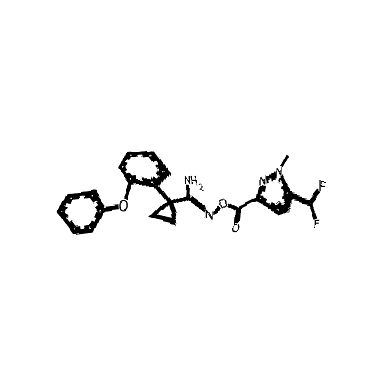 Cn1nc(C(=O)O/N=C(\N)C2(c3ccccc3Oc3ccccc3)CC2)cc1C(F)F